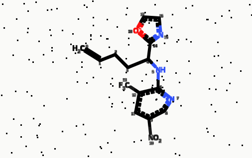 C=CCCC(Nc1ncc([N+](=O)[O-])cc1C(F)(F)F)c1ncco1